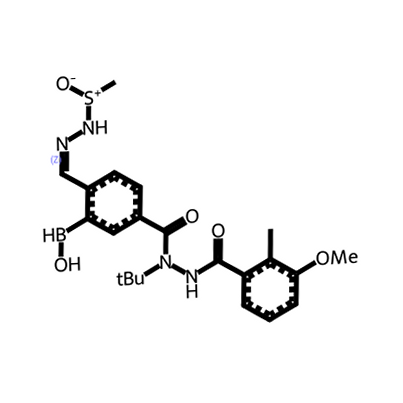 COc1cccc(C(=O)NN(C(=O)c2ccc(/C=N\N[S+](C)[O-])c(BO)c2)C(C)(C)C)c1C